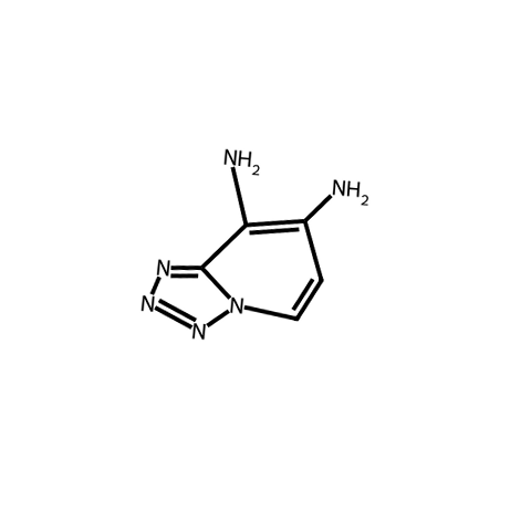 Nc1ccn2nnnc2c1N